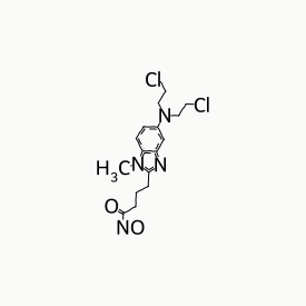 Cn1c(CCCC(=O)N=O)nc2cc(N(CCCl)CCCl)ccc21